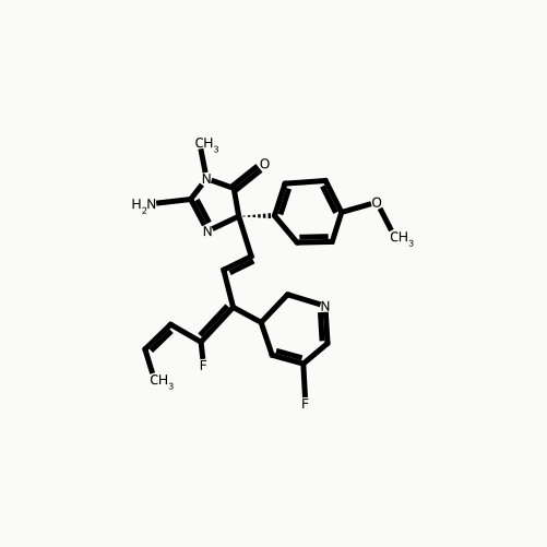 C\C=C/C(F)=C(\C=C\[C@@]1(c2ccc(OC)cc2)N=C(N)N(C)C1=O)C1C=C(F)C=NC1